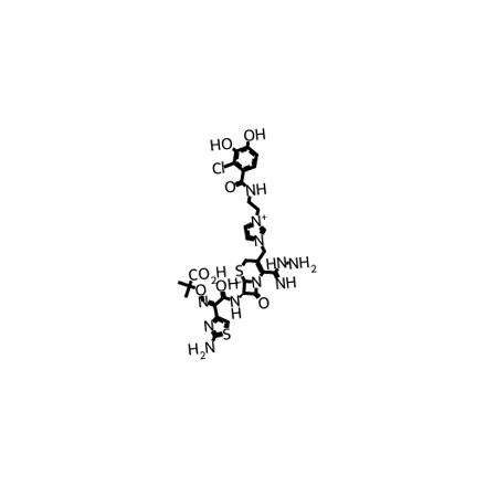 CC(C)(O/N=C(\C(=O)N[C@@H]1C(=O)N2C(C(=N)NN)=C(Cn3cc[n+](CCNC(=O)c4ccc(O)c(O)c4Cl)c3)CS[C@H]12)c1csc(N)n1)C(=O)O